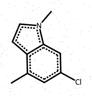 Cc1cc(Cl)cc2c1ccn2C